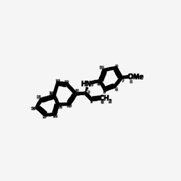 C=C[C@@H](Nc1ccc(OC)cc1)c1ccc2ccccc2c1